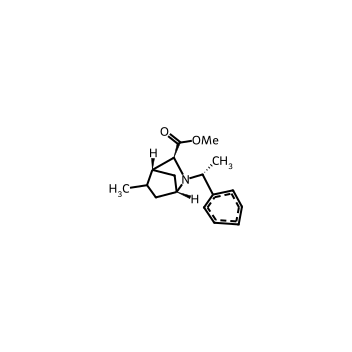 COC(=O)[C@@H]1[C@@H]2C[C@@H](CC2C)N1[C@H](C)c1ccccc1